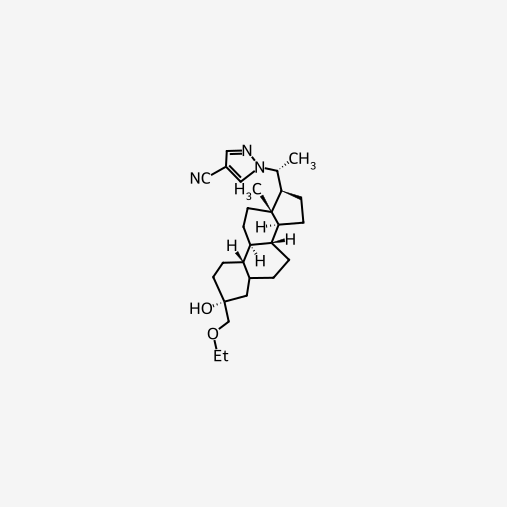 CCOC[C@@]1(O)CC[C@H]2C(CC[C@@H]3[C@@H]2CC[C@]2(C)[C@@H]([C@@H](C)n4cc(C#N)cn4)CC[C@@H]32)C1